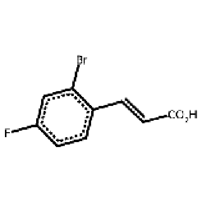 O=C(O)/C=C/c1ccc(F)cc1Br